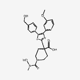 COc1cccc(-c2nc(C3(C(=O)O)CCN(C(=O)N(C)O)CC3)oc2-c2ccc(CO)cc2)c1